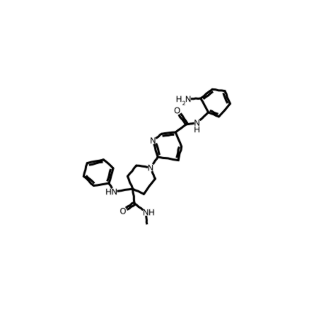 CNC(=O)C1(Nc2ccccc2)CCN(c2ccc(C(=O)Nc3ccccc3N)cn2)CC1